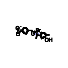 C/C(=N\OCc1ccc([N+](=O)[O-])cc1)c1cc(O)c(C)cc1Br